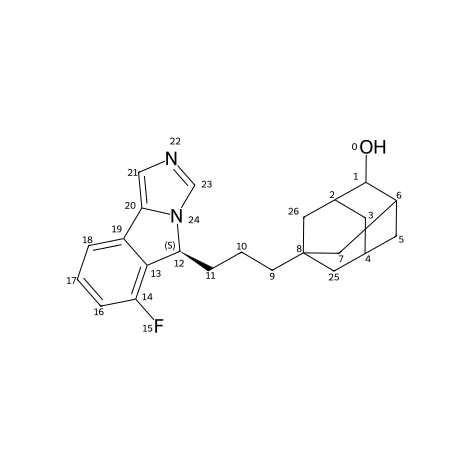 OC1C2CC3CC1CC(CCC[C@H]1c4c(F)cccc4-c4cncn41)(C3)C2